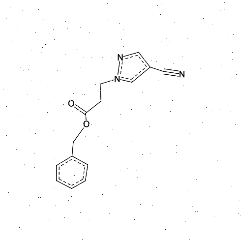 N#Cc1cnn(CCC(=O)OCc2ccccc2)c1